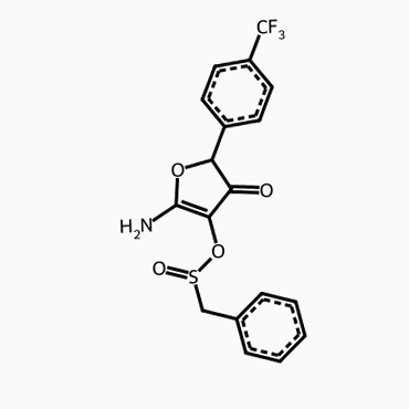 NC1=C(OS(=O)Cc2ccccc2)C(=O)C(c2ccc(C(F)(F)F)cc2)O1